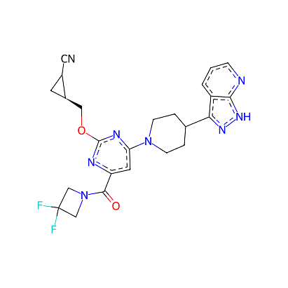 N#CC1C[C@@H]1COc1nc(C(=O)N2CC(F)(F)C2)cc(N2CCC(c3n[nH]c4ncccc34)CC2)n1